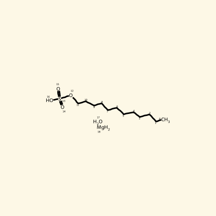 CCCCCCCCCCCCOS(=O)(=O)O.O.[MgH2]